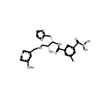 CCCN(CCC)C(=O)c1cc(C)cc(C(=O)N[C@@H](Cc2nccs2)[C@H](O)CNCc2cccc(OC)c2)c1